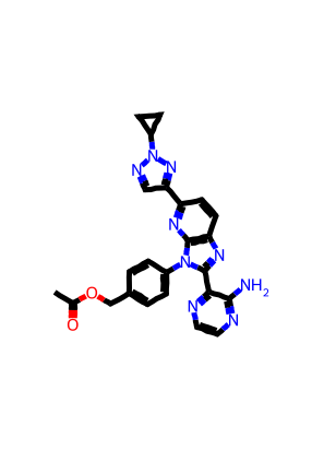 CC(=O)OCc1ccc(-n2c(-c3nccnc3N)nc3ccc(-c4cnn(C5CC5)n4)nc32)cc1